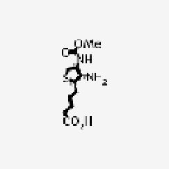 COC(=O)N[C@@H]1CS[C@H](CCCCC(=O)O)[C@H]1N